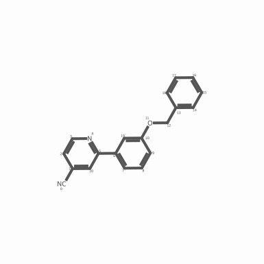 N#Cc1ccnc(-c2cccc(OCc3ccccc3)c2)c1